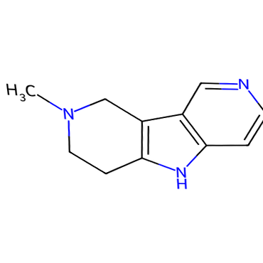 CN1CCc2[nH]c3ccncc3c2C1